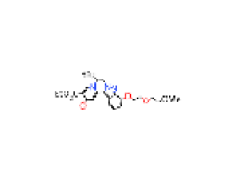 CCOC(=O)c1cn2c(cc1=O)-c1c3cccc(OCCOCCOC)c3nn1CC2C(C)(C)C